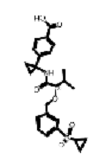 CC(C)[C@@H](OCc1cccc(S(=O)(=O)C2CC2)c1)C(=O)NC1(c2ccc(C(=O)O)cc2)CC1